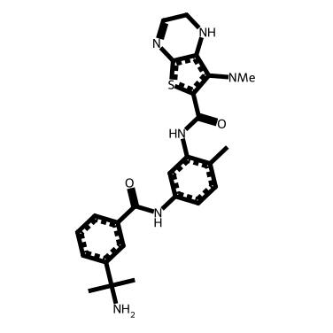 CNc1c(C(=O)Nc2cc(NC(=O)c3cccc(C(C)(C)N)c3)ccc2C)sc2c1NCC=N2